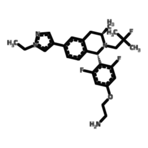 CCn1cc(-c2ccc3c(c2)C[C@@H](C)N(CC(C)(C)F)[C@@H]3c2c(F)cc(OCCN)cc2F)cn1